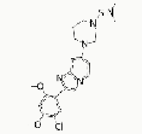 COc1cc(OC)c(-c2cn3ccc(N4CCCN(SN(C)C)CC4)cc3n2)cc1Cl